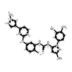 Cc1ccc(-n2nc(C(C)(C)C)cc2NC(=O)Nc2cc(Oc3nccc(-c4cnn(C)c4)n3)ccc2F)cc1C#N